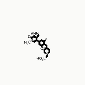 COc1cc(-c2cn(C)c(=O)c3[nH]ncc23)cc(F)c1CC1CCN(CC(=O)O)CC1